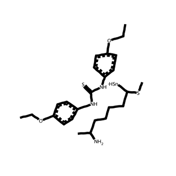 CCOc1ccc(NC(=S)Nc2ccc(OCC)cc2)cc1.CS[CH]([SnH])CCCCC(C)N